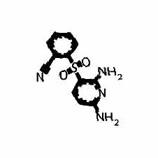 N#Cc1ccccc1S(=O)(=O)c1ccc(N)nc1N